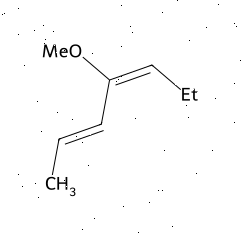 C/C=C/C(=C\CC)OC